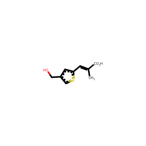 CC(=Cc1cc(CO)cs1)C(=O)O